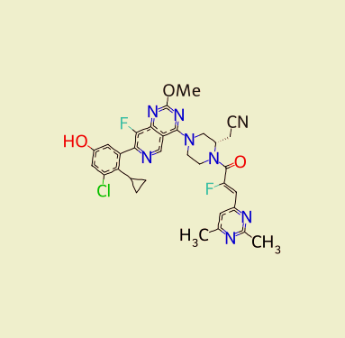 COc1nc(N2CCN(C(=O)/C(F)=C/c3cc(C)nc(C)n3)[C@@H](CC#N)C2)c2cnc(-c3cc(O)cc(Cl)c3C3CC3)c(F)c2n1